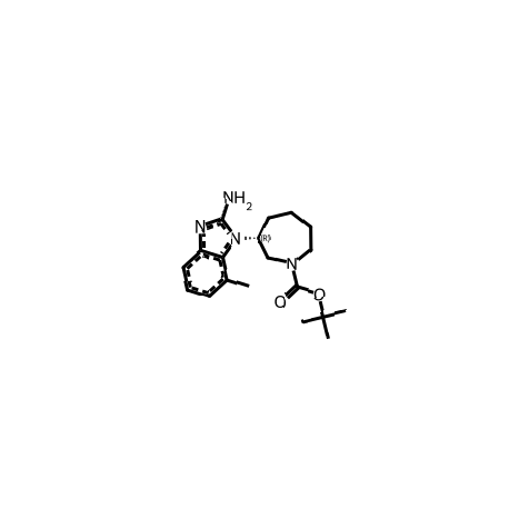 Cc1cccc2nc(N)n([C@@H]3CCCCN(C(=O)OC(C)(C)C)C3)c12